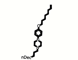 C=CCCCCCCOc1ccc(N2CCN(CCCCCCCCCCCCC)CC2)cc1